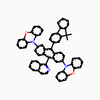 CC1(C)c2ccccc2-c2ccc(-c3c4cc(N5c6ccccc6Oc6ccccc65)ccc4c(-c4nccc5ccccc45)c4cc(N5c6ccccc6Oc6ccccc65)ccc34)cc21